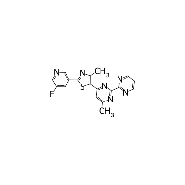 Cc1cc(-c2sc(-c3cncc(F)c3)nc2C)nc(-c2ncccn2)n1